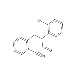 N#Cc1ccccc1CC(C=O)c1ccccc1Br